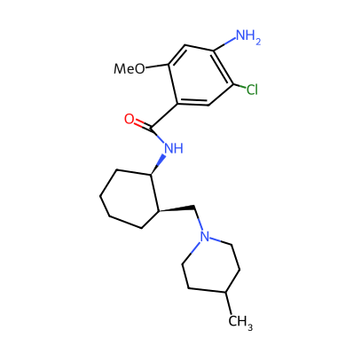 COc1cc(N)c(Cl)cc1C(=O)N[C@@H]1CCCC[C@@H]1CN1CCC(C)CC1